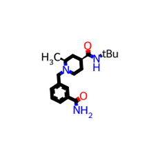 C[C@H]1C[C@@H](C(=O)NC(C)(C)C)CCN1Cc1cccc(C(N)=O)c1